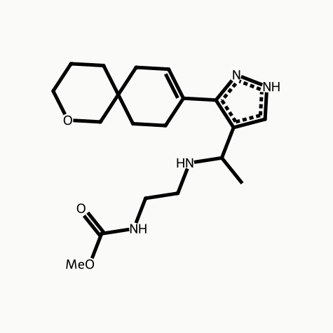 COC(=O)NCCNC(C)c1c[nH]nc1C1=CCC2(CCCOC2)CC1